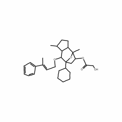 C/C(=C\COC1C2C(C)CCC2C2(C)OC1(C1CCCCC1)CC2OC(=O)CO)c1ccccc1